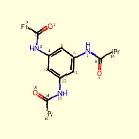 CCC(=O)Nc1cc(NC(=O)C(C)C)cc(NC(=O)C(C)C)c1